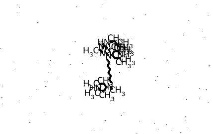 Cc1nc(NC(C)(C)CC(C)(C)C)nc(N(CCCCCCCCN(C)C2CC(C)(C)NC(C)(C)C2)C2CC(C)(C)NC(C)(C)C2)n1